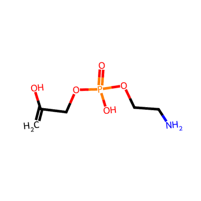 C=C(O)COP(=O)(O)OCCN